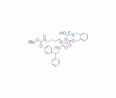 CC(C)(C)OC(=O)NCCCC[C@@H](NC(=O)[C@@H]1Cc2ccccc2CN1C(=O)O)C(=O)NCC(c1ccccc1)c1ccccc1